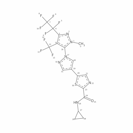 Cn1nc(C(F)(F)C(F)(F)F)c(C(F)(F)F)c1-n1cc(-c2cnc(C(=O)NC3CC3)s2)cn1